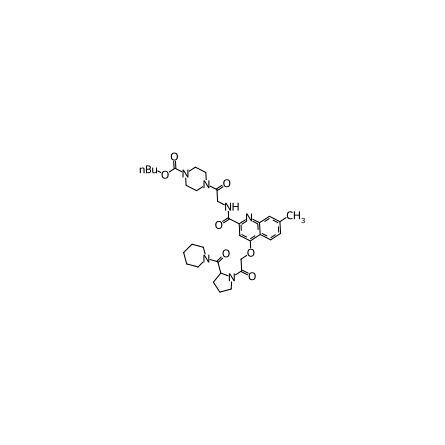 CCCCOC(=O)N1CCN(C(=O)CNC(=O)c2cc(OCC(=O)N3CCCC3C(=O)N3CCCCC3)c3ccc(C)cc3n2)CC1